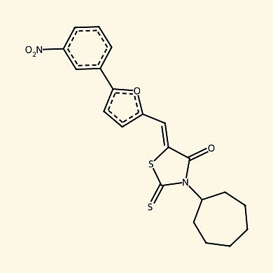 O=C1C(=Cc2ccc(-c3cccc([N+](=O)[O-])c3)o2)SC(=S)N1C1CCCCCC1